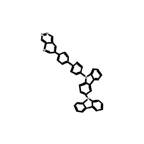 c1ccc2c(c1)c1ccccc1n2-c1ccc2c(c1)c1ccccc1n2-c1ccc(-c2ccc(-c3cnc4cnncc4c3)cc2)cc1